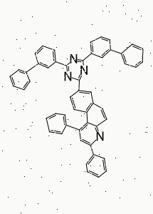 c1ccc(-c2cccc(-c3nc(-c4cccc(-c5ccccc5)c4)nc(-c4ccc5c(ccc6nc(-c7ccccc7)cc(-c7ccccc7)c65)c4)n3)c2)cc1